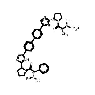 CCN(CC)[C@@H](C(=O)N1CCC[C@H]1c1ncc(-c2ccc(-c3ccc(-c4cnc([C@@H]5CCCN5C(=O)[C@H](C)N(C)C(=O)O)[nH]4)cc3)cc2)[nH]1)c1ccccc1